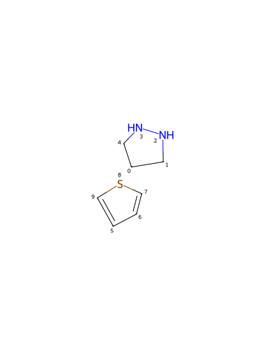 C1CNNC1.c1ccsc1